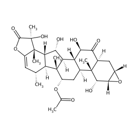 CC(=O)O[C@H]1C[C@H]2[C@H]([C@@H]3[C@@H](O)[C@@H]4[C@H]([C@H](C)C=C5OC(=O)[C@@](C)(O)[C@@]54C)[C@]31C)[C@@H](O)C(=O)[C@H]1C[C@@H]3O[C@@H]3[C@H](O)[C@@]12C